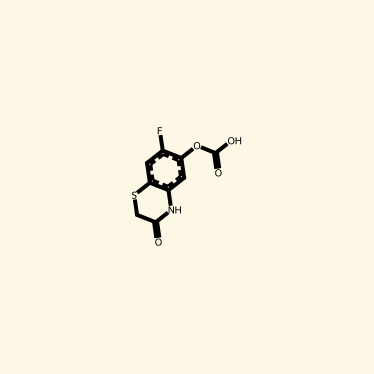 O=C1CSc2cc(F)c(OC(=O)O)cc2N1